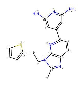 Cc1nc2ccc(-c3cc(N)nc(N)c3)nc2n1CCc1cccs1